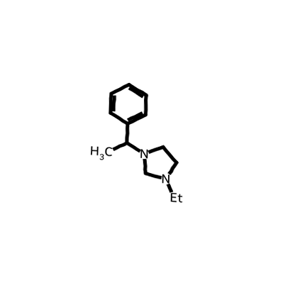 CCN1CCN(C(C)c2ccccc2)C1